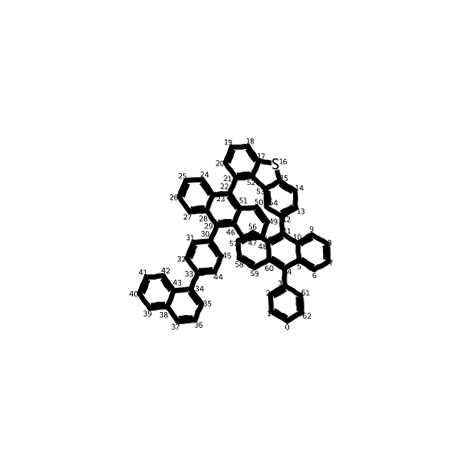 c1ccc(-c2c3ccccc3c(-c3ccc4sc5cccc(-c6c7ccccc7c(-c7ccc(-c8cccc9ccccc89)cc7)c7ccccc67)c5c4c3)c3ccccc23)cc1